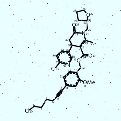 COc1cc(C#CCCCCCl)ccc1COC(=O)C1=C(C)N(C[C@H]2CCCO2)C(=O)CC1c1ccc(Cl)nc1